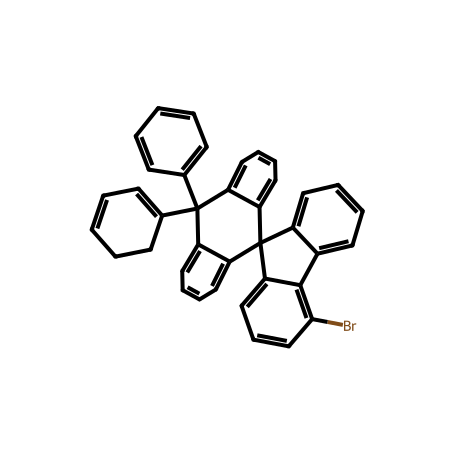 Brc1cccc2c1-c1ccccc1C21c2ccccc2C(C2=CC=CCC2)(c2ccccc2)c2ccccc21